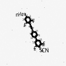 CCCCCCc1cc(F)c(C#Cc2ccc(-c3cc(F)c(SC#N)c(F)c3)cc2)c(F)c1